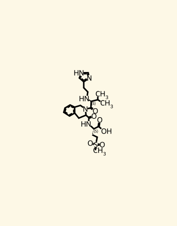 CC(C)[C@H](NCCc1c[nH]cn1)C(=O)N1Cc2ccccc2CC1C(=O)N[C@@H](CCS(C)(=O)=O)C(=O)O